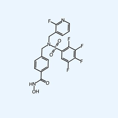 O=C(NO)c1ccc(CN(Cc2cccnc2F)S(=O)(=O)c2cc(F)c(F)c(F)c2F)cc1